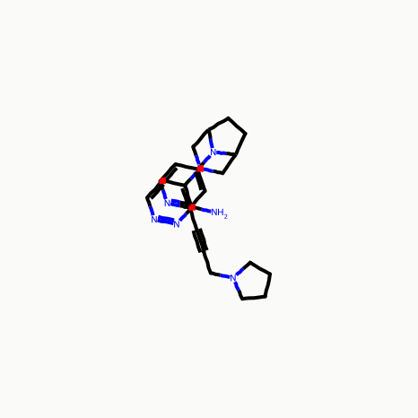 Nc1nnccc1N1CC2CCC(C1)N2c1ccnc(C#CCN2CCCC2)c1